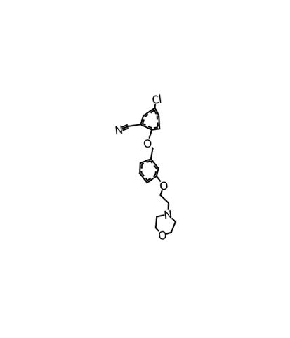 N#Cc1cc(Cl)ccc1OCc1cccc(OCCN2CCOCC2)c1